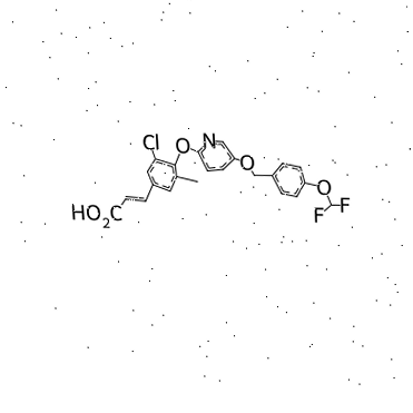 Cc1cc(/C=C/C(=O)O)cc(Cl)c1Oc1ccc(OCc2ccc(OC(F)F)cc2)cn1